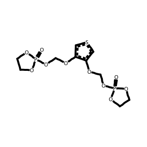 O=P1(OCOc2cscc2OCOP2(=O)OCCO2)OCCO1